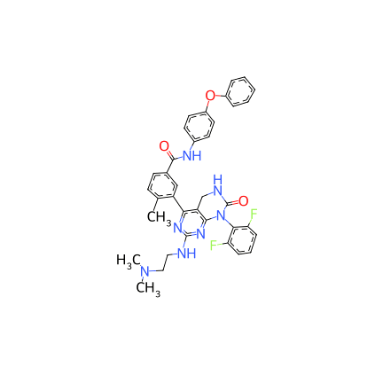 Cc1ccc(C(=O)Nc2ccc(Oc3ccccc3)cc2)cc1-c1nc(NCCN(C)C)nc2c1CNC(=O)N2c1c(F)cccc1F